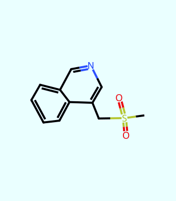 CS(=O)(=O)Cc1cncc2ccccc12